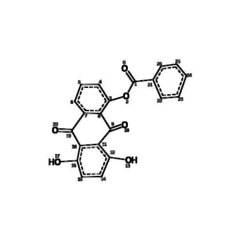 O=C(Oc1cccc2c1C(=O)c1c(O)ccc(O)c1C2=O)c1ccccc1